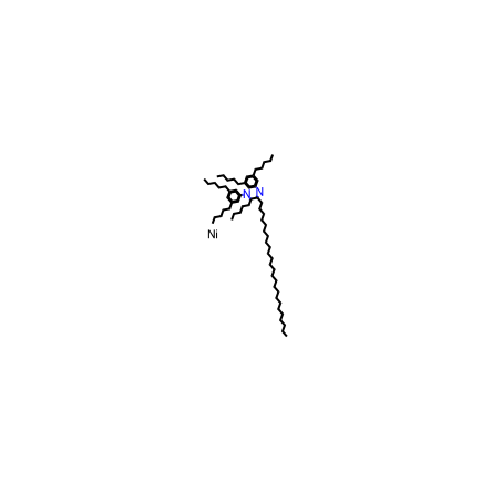 CCCCCCCCCCCCCCCCCCCCCCCCCC(=Nc1cc(CCCCC)cc(CCCCC)c1)C(CCCCC)=Nc1cc(CCCCC)cc(CCCCC)c1.[Ni]